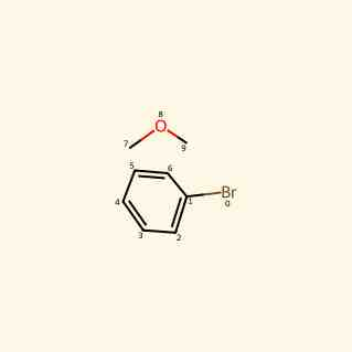 Brc1ccccc1.COC